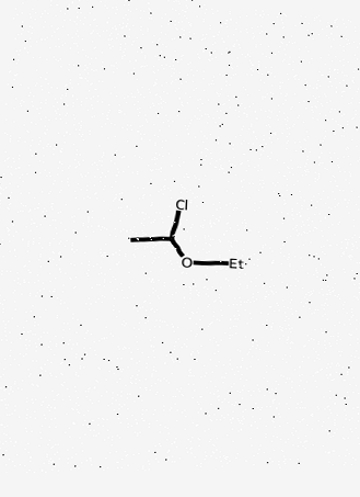 C[CH]OC(C)Cl